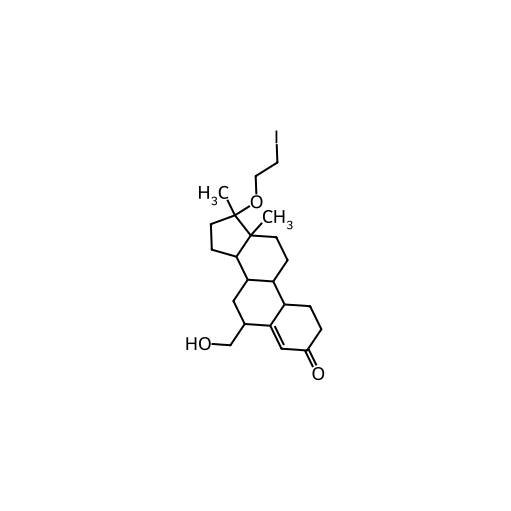 CC1(OCCI)CCC2C3CC(CO)C4=CC(=O)CCC4C3CCC21C